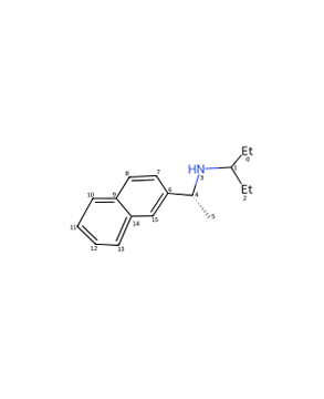 CCC(CC)N[C@H](C)c1ccc2ccccc2c1